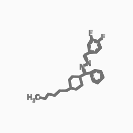 CCCCCCC1CCC(C(=NN=Cc2ccc(F)c(F)c2)c2ccccc2)CC1